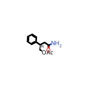 CC(=O)OC[C@H](CC(N)=O)c1ccccc1